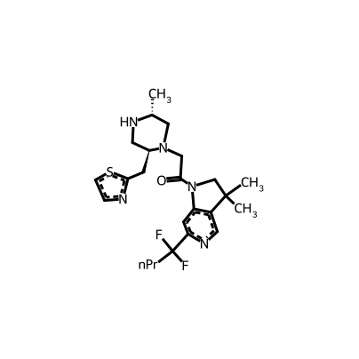 CCCC(F)(F)c1cc2c(cn1)C(C)(C)CN2C(=O)CN1C[C@@H](C)NC[C@@H]1Cc1nccs1